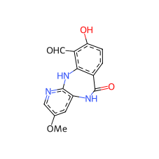 COc1cnc2c(c1)NC(=O)c1ccc(O)c(C=O)c1N2